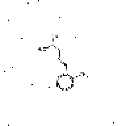 Cc1ccccc1C=NCC(C)C#N